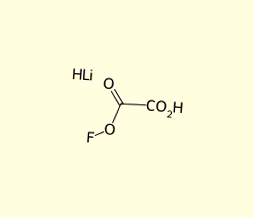 O=C(O)C(=O)OF.[LiH]